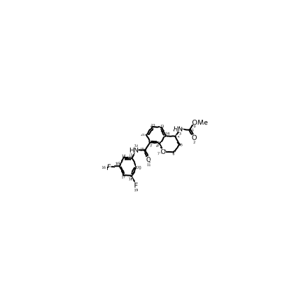 COC(=O)N[C@H]1CCOc2c(C(=O)Nc3cc(F)cc(F)c3)cccc21